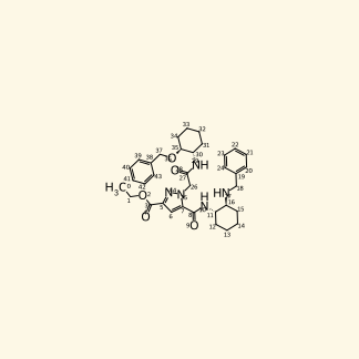 CCOC(=O)c1cc(C(=O)N[C@H]2CCCC[C@@H]2NCc2ccccc2)n(CC(=O)N[C@H]2CCCC[C@@H]2OCc2ccccc2)n1